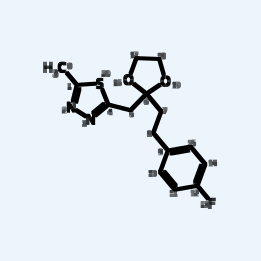 Cc1nnc(CC2(CCc3ccc(F)cc3)OCCO2)s1